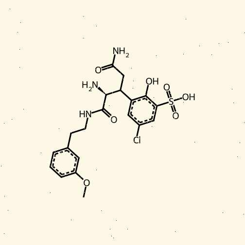 COc1cccc(CCNC(=O)[C@@H](N)C(CC(N)=O)c2cc(Cl)cc(S(=O)(=O)O)c2O)c1